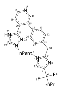 CCCCCn1nc(C(F)(F)CCC)nc1Cc1ccc(-c2cnccc2-c2nnn[nH]2)cc1